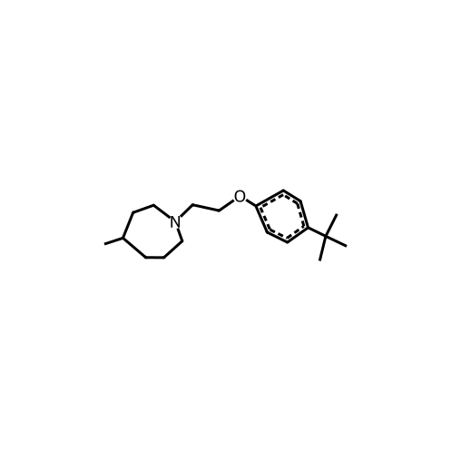 CC1CCCN(CCOc2ccc(C(C)(C)C)cc2)CC1